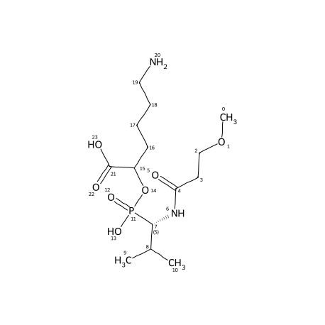 COCCC(=O)N[C@H](C(C)C)P(=O)(O)OC(CCCCN)C(=O)O